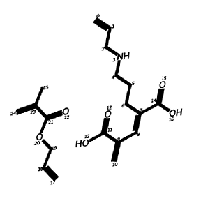 C=CCNCCCC(=CC(=C)C(=O)O)C(=O)O.C=CCOC(=O)C(=C)C